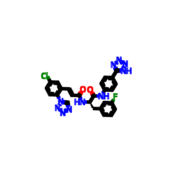 O=C(/C=C/c1cc(Cl)ccc1-n1cnnn1)N[C@@H](Cc1cccc(F)c1)C(=O)Nc1ccc(-c2nnn[nH]2)cc1